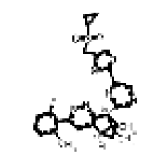 Cc1cccc(F)c1-c1cc2c(nn1)[C@@]1(c3cncc(-c4nc(CS(=O)(=O)C5CC5)co4)n3)CC[C@@H]2C1(C)C